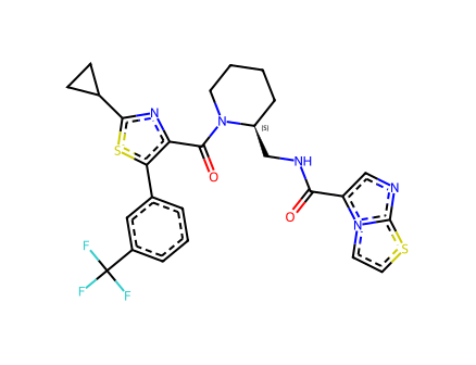 O=C(NC[C@@H]1CCCCN1C(=O)c1nc(C2CC2)sc1-c1cccc(C(F)(F)F)c1)c1cnc2sccn12